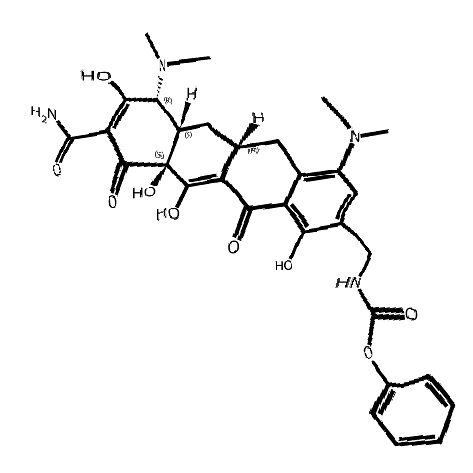 CN(C)c1cc(CNC(=O)Oc2ccccc2)c(O)c2c1C[C@H]1C[C@H]3[C@@H](N(C)C)C(O)=C(C(N)=O)C(=O)[C@@]3(O)C(O)=C1C2=O